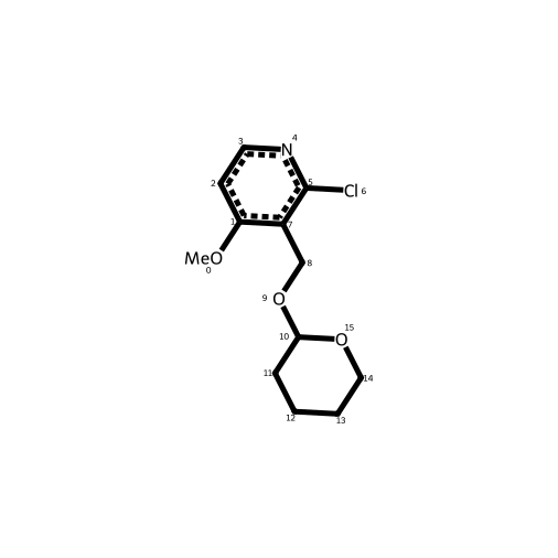 COc1ccnc(Cl)c1COC1CCCCO1